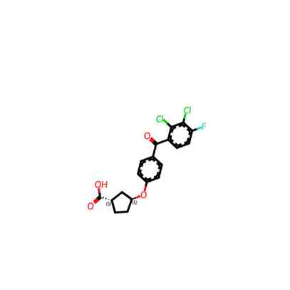 O=C(c1ccc(O[C@H]2CC[C@H](C(=O)O)C2)cc1)c1ccc(F)c(Cl)c1Cl